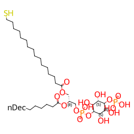 CCCCCCCCCCCCCCCC(=O)O[C@H](COC(=O)CCCCCCCCCCCCCCCS)COP(=O)(O)OC1C(O)[C@H](O)C(OP(=O)(O)O)[C@H](O)[C@@H]1O